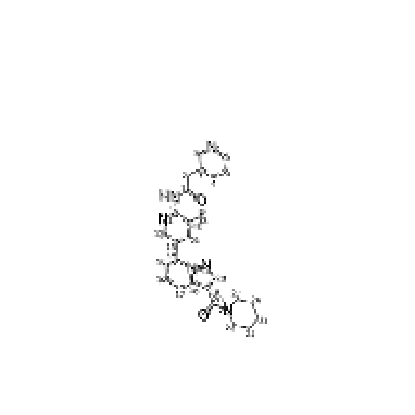 O=C(Cc1cccnc1)Nc1ncc(-c2cccc3c(C(=O)N4CCCCC4)cnn23)cc1F